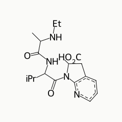 CCNC(C)C(=O)NC(C(=O)N1c2ncccc2CC1C(=O)O)C(C)C